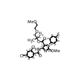 COCCOCC(C)(C)OC(=O)c1c(NC(=O)c2ccc(Cl)cc2Cl)nc(OC)n1-c1ccc(F)cc1